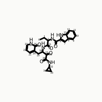 CCC(NC(=O)c1cc2ccccc2[nH]1)C(=O)NC(Cc1ccc[nH]c1=O)C(=O)C(=O)NC1CC1